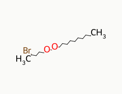 CCCCCCCCCCOCOCCCC(C)Br